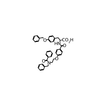 O=C(N[C@@H](Cc1ccc(OCc2ccccc2)cc1)C(=O)O)c1ccc(OCCN(Cc2ccccc2)C(=O)c2ccccc2)cc1